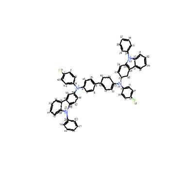 Fc1ccc(N(c2ccc(C3=CC=C(N(c4ccc(F)cc4)C4C=Cc5c(c6ccccc6n5-c5ccccc5)C4)CC3)cc2)c2ccc3c(c2)c2ccccc2n3-c2ccccc2)cc1